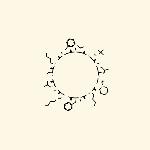 CCCCN1CC(=O)N(C)[C@@H](Cc2ccccc2)C(=O)N[C@@H](COCCCO)C(=O)N(C)[C@@H](CC(C)C)C(=O)N[C@@H]([C@@H](C)O)C(=O)N(CCCC)CC(=O)N(C)[C@@H](Cc2ccccc2)C(=O)N(C)[C@@H](C(C)C)C(=O)N[C@@H](COC(C)(C)C)C(=O)N(C)[C@@H](CC(C)C)C(=O)N[C@H](C(=O)N2CCCCC2)CC1=O